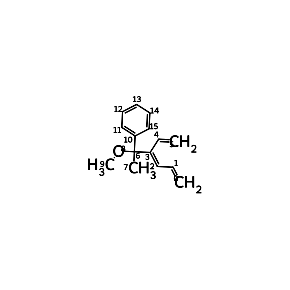 C=C/C=C(\C=C)C(C)(OC)c1ccccc1